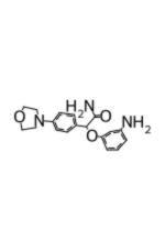 NC(=O)C(Oc1cccc(N)c1)c1ccc(N2CCOCC2)cc1